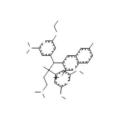 CCSc1cc(C(c2cc3cc(Br)ccc3nc2OC)C(O)(CCN(C)C)c2cc(OC)nc(OC)c2)cc(N(C)C)n1